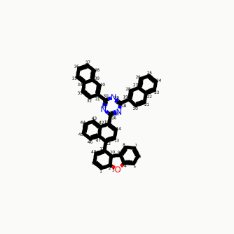 C1=CC2Oc3ccccc3C2C(c2ccc(-c3nc(-c4ccc5ccccc5c4)nc(-c4ccc5ccccc5c4)n3)c3ccccc23)=C1